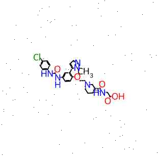 Cn1nccc1-c1cc(NC(=O)Nc2ccc(Cl)cc2)ccc1OCCN1CCC[C@H](C(=O)NCC(=O)O)C1